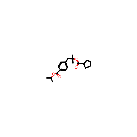 CC(C)OC(=O)c1ccc(CC(C)(C)OC(=O)C2CCCC2)cc1